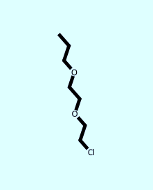 CCCOCCOCCCl